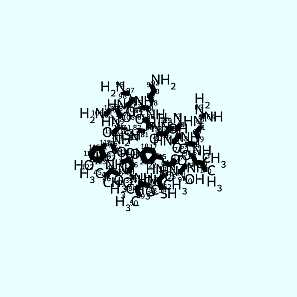 CC[C@H](C)[C@H](NC(=O)[C@H](CO)NC(=O)[C@H](Cc1ccc(O)cc1)NC(=O)[C@@H](NC(=O)[C@@H](NC(=O)[C@@H]1C[C@@H](O)CN1C(=O)[C@@H](N)C(C)C)[C@@H](C)CC)C(C)(C)S)C(=O)N[C@@H](CCCNC(=N)N)C(=O)N[C@@H](CCN)C(=O)N[C@H](C(=O)N[C@H](CCN)C(=O)N[C@@H](CCCCN)C(=O)N[C@@H](CCN)C(=O)N[C@@H](CCN)C(=O)N[C@@H](CS)C(=O)N[C@@H](Cc1ccc(O)cc1)C(=O)O)[C@@H](C)O